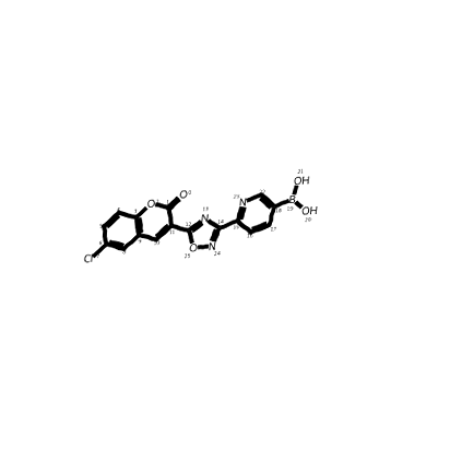 O=c1oc2ccc(Cl)cc2cc1-c1nc(-c2ccc(B(O)O)cn2)no1